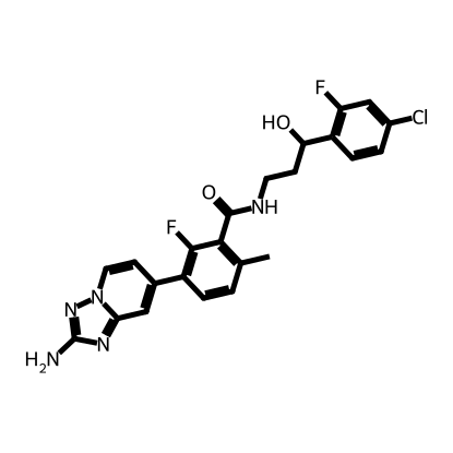 Cc1ccc(-c2ccn3nc(N)nc3c2)c(F)c1C(=O)NCCC(O)c1ccc(Cl)cc1F